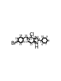 ClC1c2nc(-c3ccccc3)[nH]c2C=CN1Cc1ccc(Br)cc1